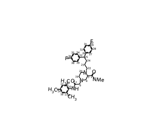 CNC(=O)C1CN(CC(=O)Nc2c(C)cc(C)cc2C)CCN1CCCC(c1ccc(F)cc1)c1ccc(F)cc1